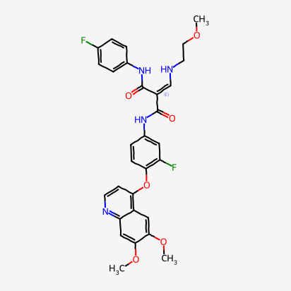 COCCN/C=C(\C(=O)Nc1ccc(F)cc1)C(=O)Nc1ccc(Oc2ccnc3cc(OC)c(OC)cc23)c(F)c1